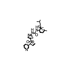 C=CC(c1cccnc1)S(=O)(=O)c1cnc(NC(=O)Nc2ccc(C)cc2OCC(C)C)s1